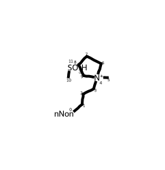 CCCCCCCCCCCC[N+]1(C)CCCC1.CS(=O)(=O)O